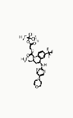 CC[C@@H]1C[C@H](Nc2ncc(N3CCOCC3)cn2)c2cc(C(F)(F)F)ccc2N1C(=O)OCC(=O)OC(C)(C)C